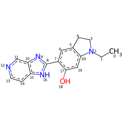 CCN1CCc2cc(-c3nc4cnccc4[nH]3)c(O)cc21